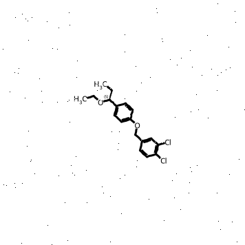 CCO[C@@H](CC)c1ccc(OCc2ccc(Cl)c(Cl)c2)cc1